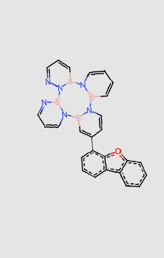 C1=CB2N3C=CC(c4cccc5c4oc4ccccc45)=CB3N3C=CC=NB3N3N=CC=CB3N2C=C1